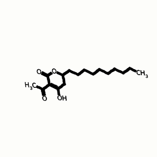 CCCCCCCCCCC1CC(O)=C(C(C)=O)C(=O)O1